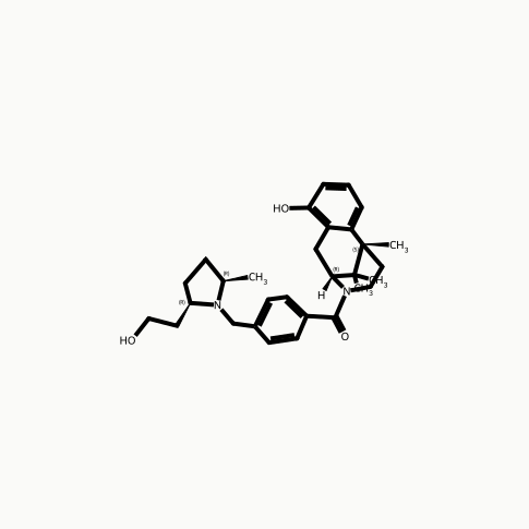 C[C@@H]1CC[C@H](CCO)N1Cc1ccc(C(=O)N2CC[C@@]3(C)c4cccc(O)c4C[C@@H]2C3(C)C)cc1